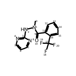 CN(Nc1ncccn1)C(=O)c1ccccc1C(F)(F)F